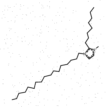 CCCCCCCCCCCCCCCCCn1cc[n+](C)c1CCCCCCCC